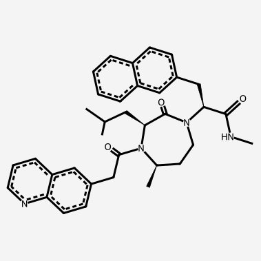 CNC(=O)[C@H](Cc1ccc2ccccc2c1)N1CC[C@@H](C)N(C(=O)Cc2ccc3ncccc3c2)[C@@H](CC(C)C)C1=O